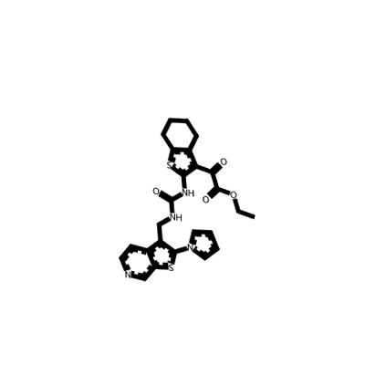 CCOC(=O)C(=O)c1c(NC(=O)NCc2c(-n3cccc3)sc3cnccc23)sc2c1CCCC2